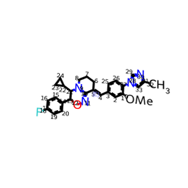 COc1cc(/C=C2\CCCN3C2=NOC(c2ccc(F)cc2)C3C2CC2)ccc1-n1cnc(C)c1